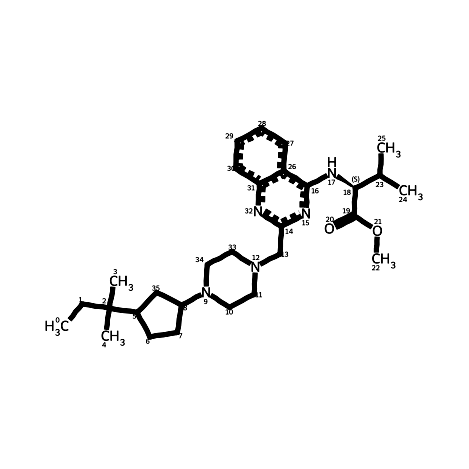 CCC(C)(C)C1CCC(N2CCN(Cc3nc(N[C@H](C(=O)OC)C(C)C)c4ccccc4n3)CC2)C1